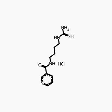 Cl.N=C(N)NCCCCNC(=O)c1cccnc1